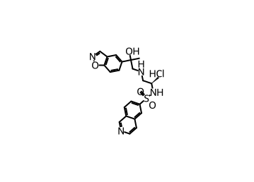 C[C@H](CNCC(C)(O)c1ccc2oncc2c1)NS(=O)(=O)c1ccc2cnccc2c1.Cl